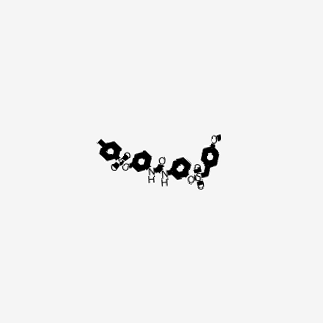 COc1ccc(CS(=O)(=O)Oc2cccc(NC(=O)Nc3cccc(OS(=O)(=O)c4ccc(C)cc4)c3)c2)cc1